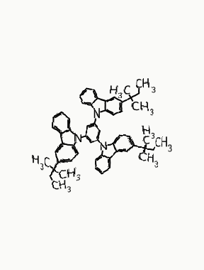 CCC(C)(C)c1ccc2c(c1)c1ccccc1n2-c1cc(-n2c3ccccc3c3cc(C(C)(C)CC)ccc32)cc(-n2c3ccccc3c3cc(C(C)(C)CC)ccc32)c1